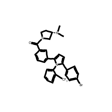 CN(C)[C@H]1CCN(C(=O)c2cccc(-c3ccc(-c4ccc(Br)cc4)n3-c3ccccc3C(F)(F)F)c2)C1